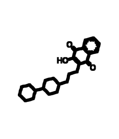 O=C1C(O)=C(CCCC2CCC(C3CCCCC3)CC2)C(=O)c2ccccc21